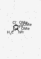 CCCc1n([Si](OC)(OC)OC)cc[n+]1C.[Cl-]